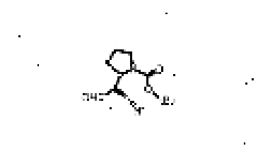 CC(C)(C)OC(=O)N1CCCC1C(C=O)=[N+]=[N-]